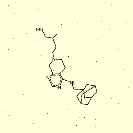 CC(CCN1CCc2c(ncnc2NCC23CC4CC(CC(C4)C2)C3)C1)CC(C)(C)C